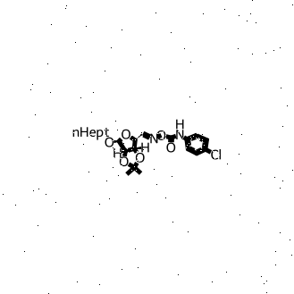 CCCCCCCO[C@H]1O[C@H](C=NOC(=O)Nc2ccc(Cl)cc2)[C@@H]2OC(C)(C)O[C@H]12